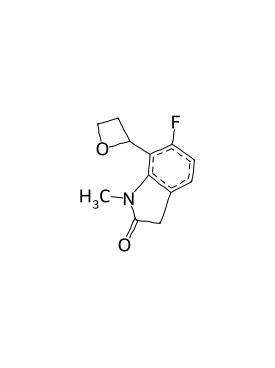 CN1C(=O)Cc2ccc(F)c(C3CCO3)c21